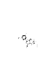 OC1c2c(C(F)(F)F)cc(-c3cc(F)cc(F)c3)n2CCC1(F)F